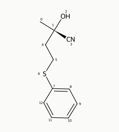 C[C@@](O)(C#N)CCSc1ccccc1